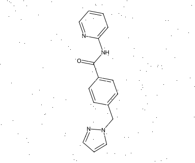 O=C(Nc1ccccn1)c1ccc(Cn2cccn2)cc1